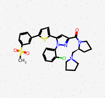 CS(=O)(=O)c1cccc(-c2ccc(-c3cc(C(=O)N4CCC[C@H]4CN4CCCC4)nn3-c3ccccc3Cl)s2)c1